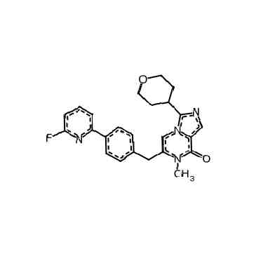 Cn1c(Cc2ccc(-c3cccc(F)n3)cc2)cn2c(C3CCOCC3)ncc2c1=O